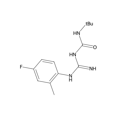 Cc1cc(F)ccc1NC(=N)NC(=O)NC(C)(C)C